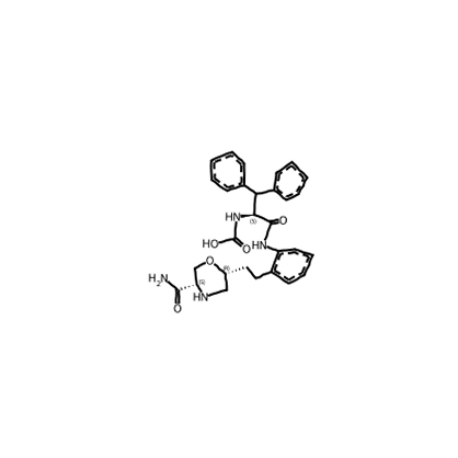 NC(=O)[C@@H]1CO[C@H](CCc2ccccc2NC(=O)[C@@H](NC(=O)O)C(c2ccccc2)c2ccccc2)CN1